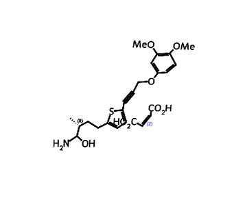 COc1ccc(OCC#Cc2ccc(CC[C@@H](C)C(N)O)s2)cc1OC.O=C(O)/C=C\C(=O)O